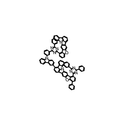 c1ccc(-c2nc(-c3cccc(-n4c5ccccc5c5cc(-c6ccc7c8cc9oc%10c(-c%11ccccc%11)ccc(-c%11nc(-c%12ccccc%12)nc(-c%12ccccc%12)n%11)c%10c9cc8n8c9ccccc9c6c78)ccc54)c3)nc(-c3cccc4oc5cc6c7cccc8c9ccccc9n(c6cc5c34)c87)n2)cc1